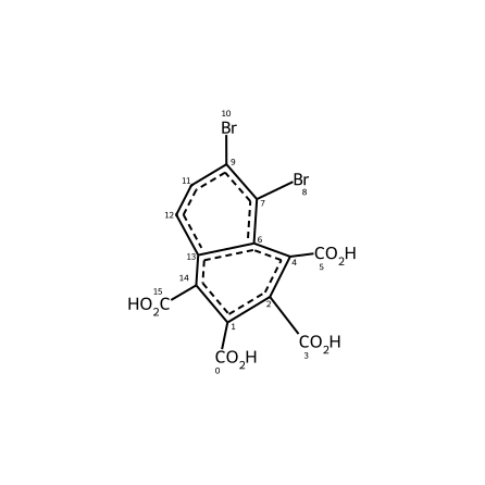 O=C(O)c1c(C(=O)O)c(C(=O)O)c2c(Br)c(Br)ccc2c1C(=O)O